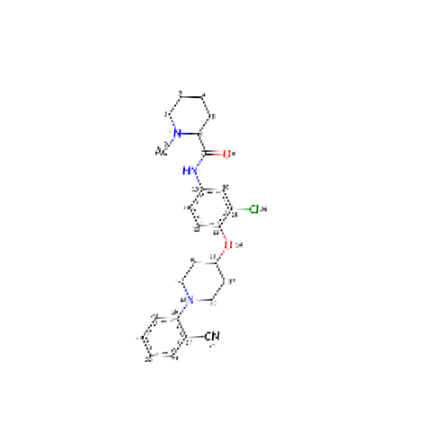 CC(=O)N1CCCCC1C(=O)Nc1ccc(OC2CCN(c3ccccc3C#N)CC2)c(Cl)c1